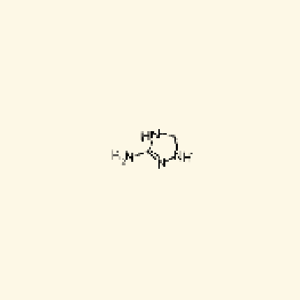 NC1=NNCN1